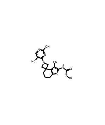 CC(C)(C)OC(=O)Nc1sc2c(c1C#N)C1(CCC2)CN(c2nc(O)ncc2C#N)C1